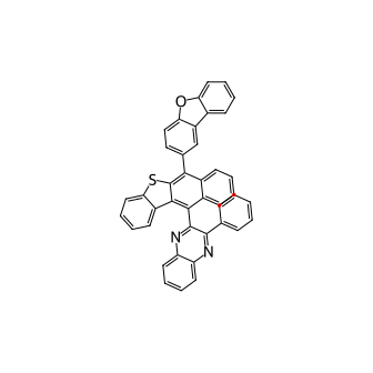 c1ccc(-c2nc3ccccc3nc2-c2c3ccccc3c(-c3ccc4oc5ccccc5c4c3)c3sc4ccccc4c23)cc1